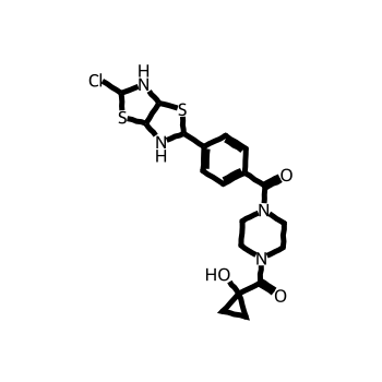 O=C(c1ccc(C2NC3SC(Cl)NC3S2)cc1)N1CCN(C(=O)C2(O)CC2)CC1